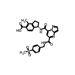 Cc1c(C(=O)O)ccc2c1CC[C@@H]2NC(=O)c1cc(C(=O)NCc2ccc(S(C)(=O)=O)cc2)nc2ccnn12